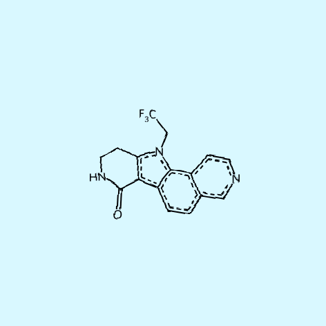 O=C1NCCc2c1c1ccc3cnccc3c1n2CC(F)(F)F